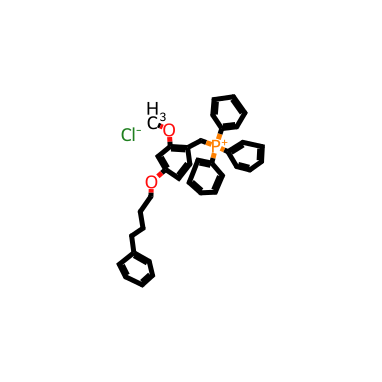 COc1cc(OCCCCc2ccccc2)ccc1C[P+](c1ccccc1)(c1ccccc1)c1ccccc1.[Cl-]